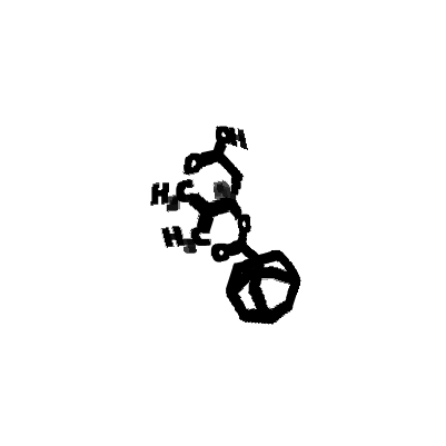 CC(C)[C@H](CC(=O)O)OC(=O)C12CC3CC(CC(C3)C1)C2